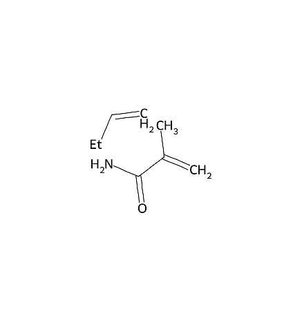 C=C(C)C(N)=O.C=CCC